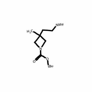 CNCCC1(C)CN(C(=O)OC(C)(C)C)C1